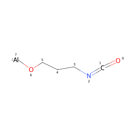 O=C=NCCC[O][Al]